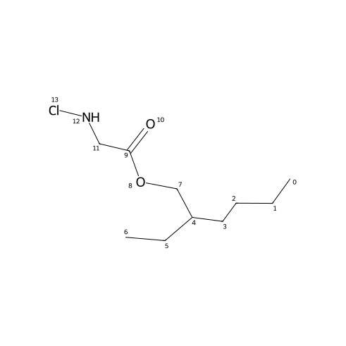 CCCCC(CC)COC(=O)CNCl